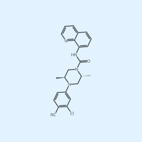 C[C@@H]1CN(c2ccc(C#N)c(Cl)c2)[C@@H](C)CN1C(=O)Nc1cccc2cccnc12